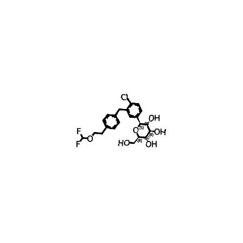 OC[C@H]1O[C@@H](c2ccc(Cl)c(Cc3ccc(CCOC(F)F)cc3)c2)[C@H](O)[C@@H](O)[C@@H]1O